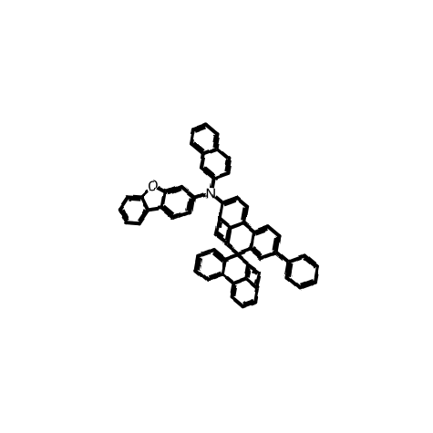 c1ccc(-c2ccc3c(c2)C2(c4ccccc4-c4cccc5cccc2c45)c2cccc4c(N(c5ccc6ccccc6c5)c5ccc6c(c5)oc5ccccc56)ccc-3c24)cc1